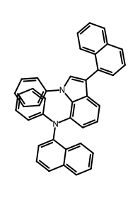 c1ccc(N(c2cccc3ccccc23)c2cccc3c(-c4cccc5ccccc45)cn(-c4ccccc4)c23)cc1